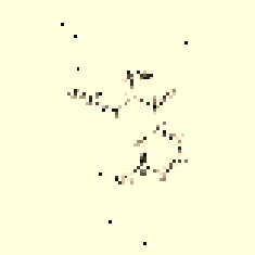 C#CCC(NC)C(=C)c1cccc(Cl)c1